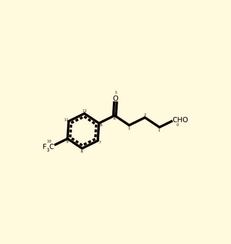 O=CCCCC(=O)c1ccc(C(F)(F)F)cc1